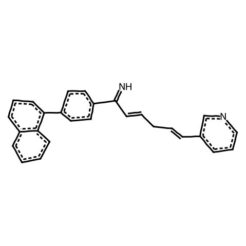 N=C(/C=C/C/C=C/c1cccnc1)c1ccc(-c2cccc3ccccc23)cc1